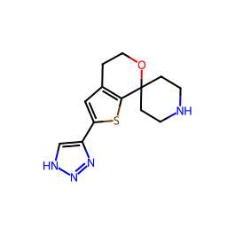 c1[nH]nnc1-c1cc2c(s1)C1(CCNCC1)OCC2